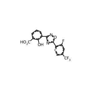 O=C(O)c1cccc(-c2noc(-c3ccc(C(F)(F)F)cc3F)n2)c1O